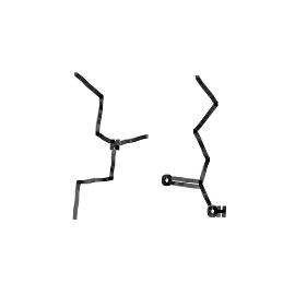 CCCCC(=O)O.CCCN(C)CCC